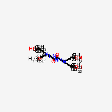 CC(C)(CCCCCN(CCCCCC(C)(C)[Si](C)(C)O)CCCCC1NC(=O)C(CCCCN(CCCCCC(C)(C)[Si](C)(C)O)CCCCO[Si](C)(C)C(C)(C)C)NC1=O)[Si](C)(C)O